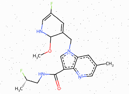 COC1NC=C(F)C=C1Cn1cc(C(=O)NC[C@H](C)F)c2ncc(C)cc21